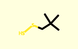 CC(C)(C)CSS